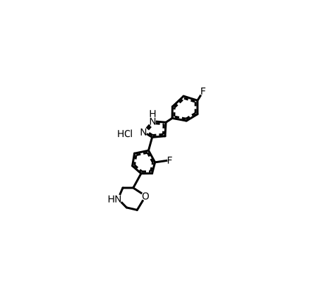 Cl.Fc1ccc(-c2cc(-c3ccc(C4CNCCO4)cc3F)n[nH]2)cc1